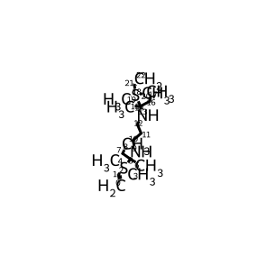 C=CS(C)(C)C(C)(CC)NCCCNC(C)(CC)S(C)(C)C=C